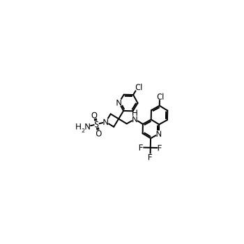 NS(=O)(=O)N1CC(CNc2cc(C(F)(F)F)nc3ccc(Cl)cc23)(c2ccc(Cl)cn2)C1